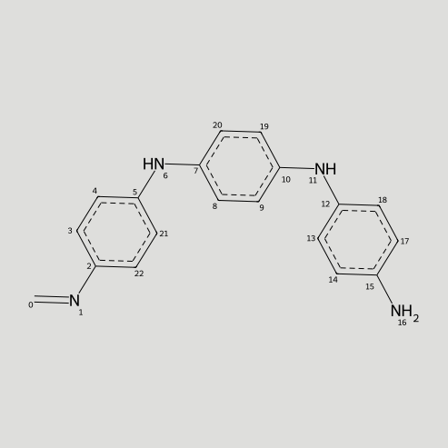 C=Nc1ccc(Nc2ccc(Nc3ccc(N)cc3)cc2)cc1